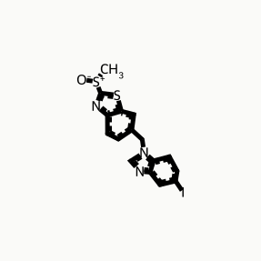 C[S+]([O-])c1nc2ccc(Cn3cnc4cc(I)ccc43)cc2s1